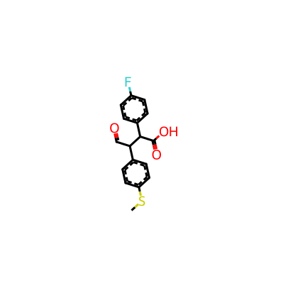 CSc1ccc(C(C=O)C(C(=O)O)c2ccc(F)cc2)cc1